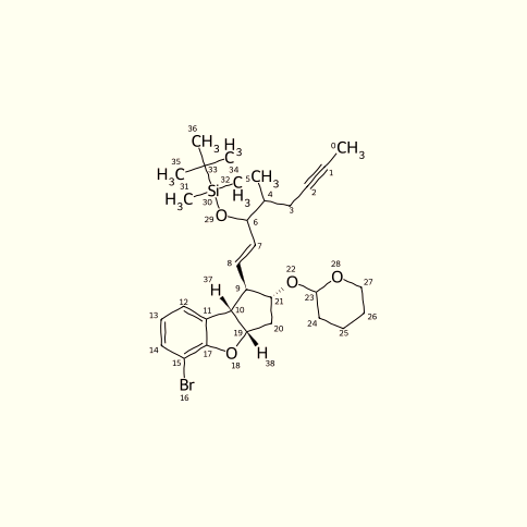 CC#CCC(C)C(/C=C/[C@@H]1[C@H]2c3cccc(Br)c3O[C@H]2C[C@H]1OC1CCCCO1)O[Si](C)(C)C(C)(C)C